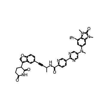 CC(C#Cc1ccc2occ(C3CCC(=O)NC3=O)c2c1)NC(=O)c1ccc(-c2ncc(N(C)c3cc(C(C)C)c4c(c3)n(C)c(=O)n4C)cn2)cn1